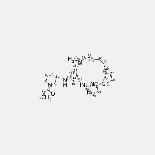 C=CC(=O)N1CCCC(CNc2cc3cc(c2)Nc2nccc(n2)-c2cccc(c2)OCC/C=C/CN(C)C3)C1